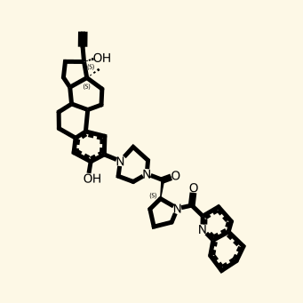 C#C[C@]1(O)CCC2C3CCc4cc(O)c(N5CCN(C(=O)[C@@H]6CCCN6C(=O)c6ccc7ccccc7n6)CC5)cc4C3CC[C@@]21C